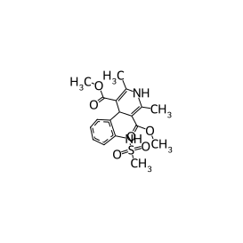 COC(=O)C1=C(C)NC(C)=C(C(=O)OC)C1c1ccccc1NS(C)(=O)=O